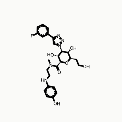 CN(CCNc1ccc(O)cc1)C(=O)[C@@H]1O[C@H](CCO)[C@H](O)[C@H](n2cc(-c3cccc(F)c3)nn2)[C@H]1O